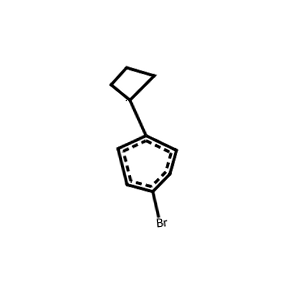 Brc1ccc([C]2CCC2)cc1